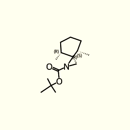 C[C@@H]1CCC[C@H](C)[C@]12CN2C(=O)OC(C)(C)C